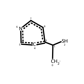 [CH2]C(S)c1ccncc1